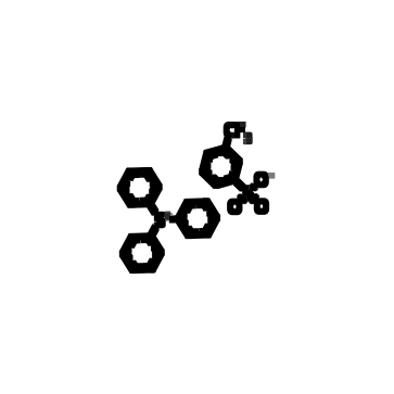 O=S(=O)([O-])c1cccc(C(F)(F)F)c1.c1ccc([S+](c2ccccc2)c2ccccc2)cc1